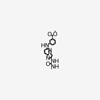 CNC(=O)Nc1cn2nc(Nc3cccc(C(=O)OC)c3)ccc2n1